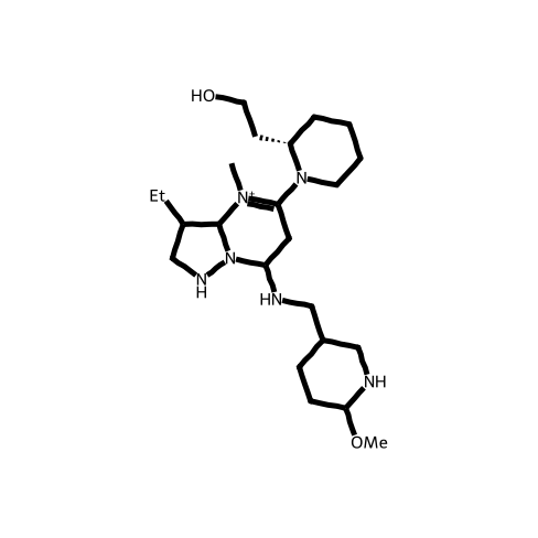 CCC1CNN2C(NCC3CCC(OC)NC3)CC(N3CCCC[C@H]3CCO)=[N+](C)C12